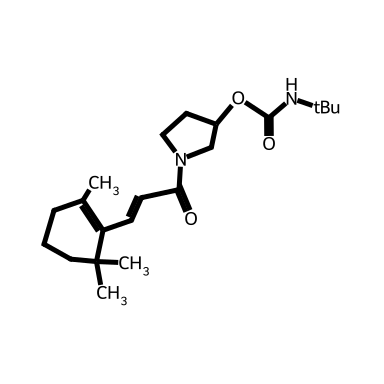 CC1=C(/C=C/C(=O)N2CCC(OC(=O)NC(C)(C)C)C2)C(C)(C)CCC1